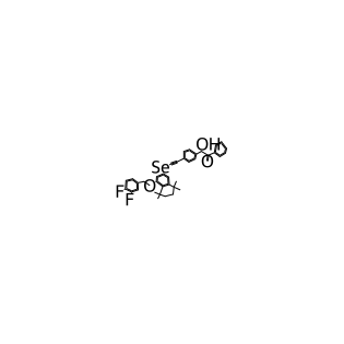 CC1(C)CCC(C)(C)c2c(OCc3ccc(F)c(F)c3)cc([Se]C#Cc3ccc(C(O)C(=O)c4ccccc4)cc3)cc21